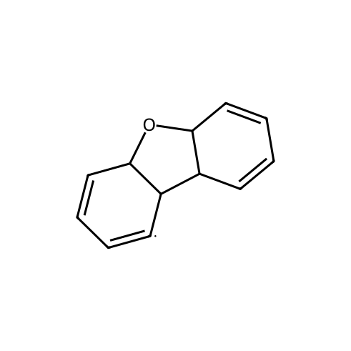 [C]1=CC=CC2OC3C=CC=CC3C12